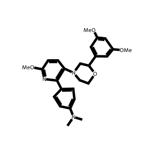 COc1cc(OC)cc(C2CN(c3ccc(OC)nc3-c3ccc(N(C)C)cc3)CCO2)c1